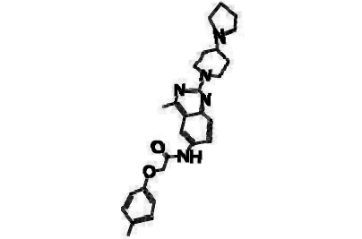 Cc1ccc(OCC(=O)Nc2ccc3nc(N4CCC(N5CCCC5)CC4)nc(C)c3c2)cc1